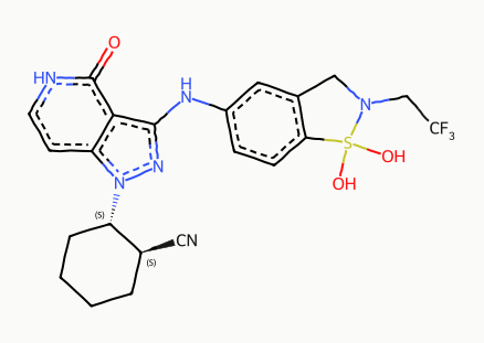 N#C[C@H]1CCCC[C@@H]1n1nc(Nc2ccc3c(c2)CN(CC(F)(F)F)S3(O)O)c2c(=O)[nH]ccc21